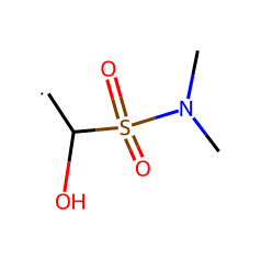 [CH2]C(O)S(=O)(=O)N(C)C